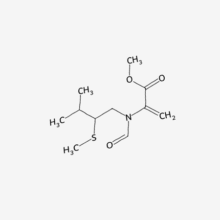 C=C(C(=O)OC)N(C=O)CC(SC)C(C)C